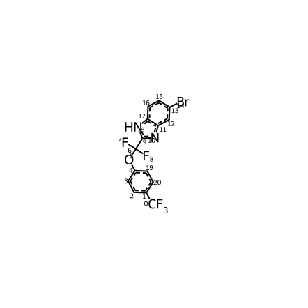 FC(F)(F)c1ccc(OC(F)(F)c2nc3cc(Br)ccc3[nH]2)cc1